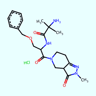 CN1N=C2CCN(C(=O)C(COCc3ccccc3)NC(=O)C(C)(C)N)CC2C1=O.Cl